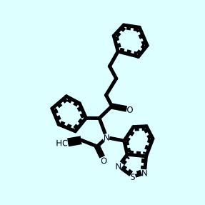 C#CC(=O)N(c1cccc2nsnc12)C(C(=O)CCCc1ccccc1)c1ccccc1